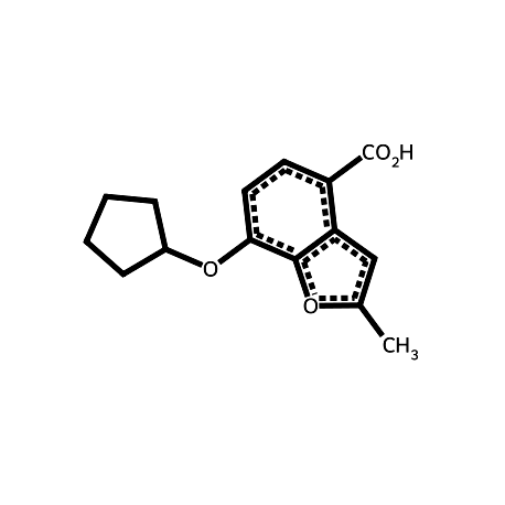 Cc1cc2c(C(=O)O)ccc(OC3CCCC3)c2o1